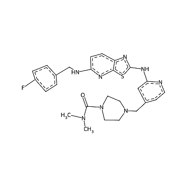 CN(C)C(=O)N1CCN(Cc2ccnc(Nc3nc4ccc(NCc5ccc(F)cc5)nc4s3)c2)CC1